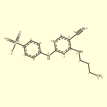 CCCCNc1nc(Nc2ccc(S(=O)(=O)F)cc2)ncc1C#N